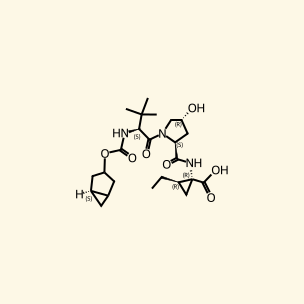 CC[C@@H]1C[C@]1(NC(=O)[C@@H]1C[C@@H](O)CN1C(=O)[C@@H](NC(=O)OC1CC2C[C@H]2C1)C(C)(C)C)C(=O)O